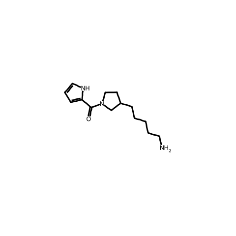 NCCCCCC1CCN(C(=O)c2ccc[nH]2)C1